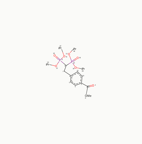 COC(=O)c1ccc(CC(P(=O)(OC(C)C)OC(C)C)P(=O)(OC(C)C)OC(C)C)cc1